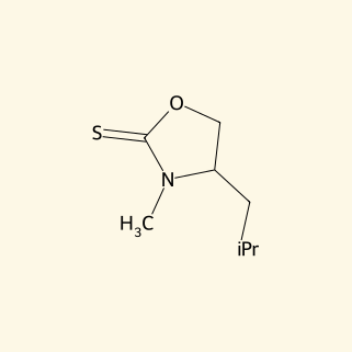 CC(C)CC1COC(=S)N1C